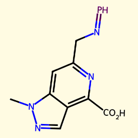 Cn1ncc2c(C(=O)O)nc(CN=P)cc21